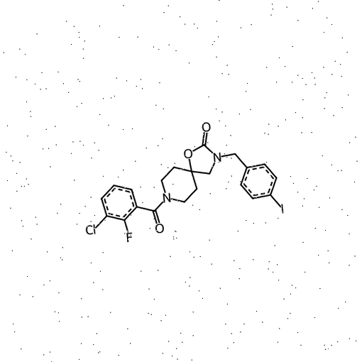 O=C1OC2(CCN(C(=O)c3cccc(Cl)c3F)CC2)CN1Cc1ccc(I)cc1